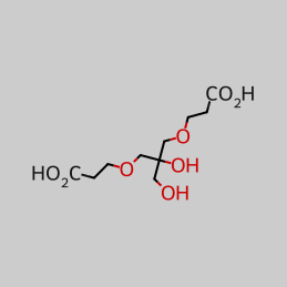 O=C(O)CCOCC(O)(CO)COCCC(=O)O